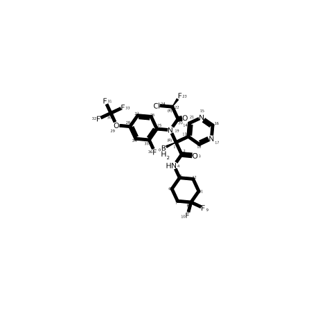 B[C@](C(=O)NC1CCC(F)(F)CC1)(c1cncnc1)N(C(=O)[C@H](F)Cl)c1ccc(OC(F)(F)F)cc1F